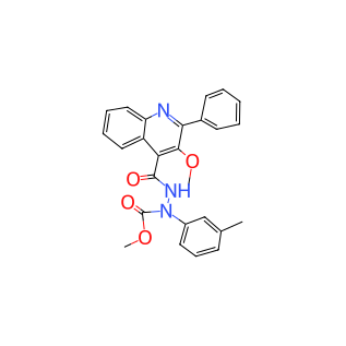 COC(=O)N(NC(=O)c1c(OC)c(-c2ccccc2)nc2ccccc12)c1cccc(C)c1